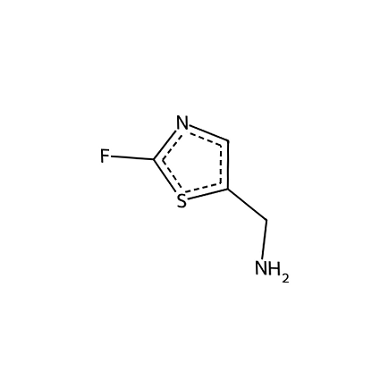 NCc1cnc(F)s1